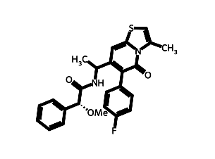 CO[C@@H](C(=O)NC(C)c1cc2scc(C)n2c(=O)c1-c1ccc(F)cc1)c1ccccc1